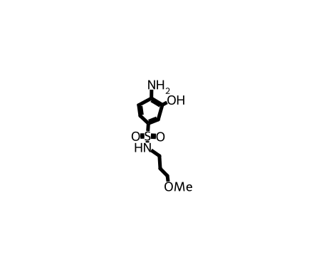 COCCCNS(=O)(=O)c1ccc(N)c(O)c1